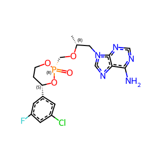 C[C@H](Cn1cnc2c(N)ncnc21)OC[P@@]1(=O)OCC[C@@H](c2cc(F)cc(Cl)c2)O1